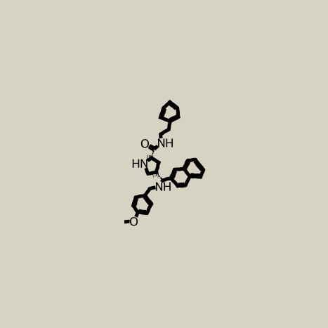 COc1ccc(CNC(c2ccc3ccccc3c2)[C@@H]2CN[C@H](C(=O)NCCc3ccccc3)C2)cc1